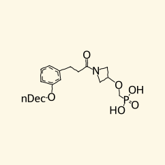 CCCCCCCCCCOc1cccc(CCC(=O)N2CC(OCP(=O)(O)O)C2)c1